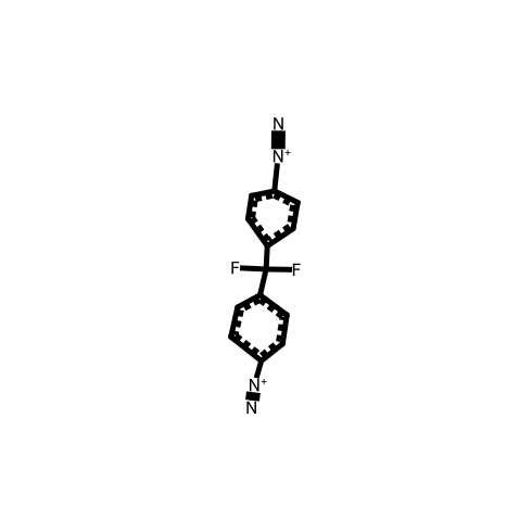 N#[N+]c1ccc(C(F)(F)c2ccc([N+]#N)cc2)cc1